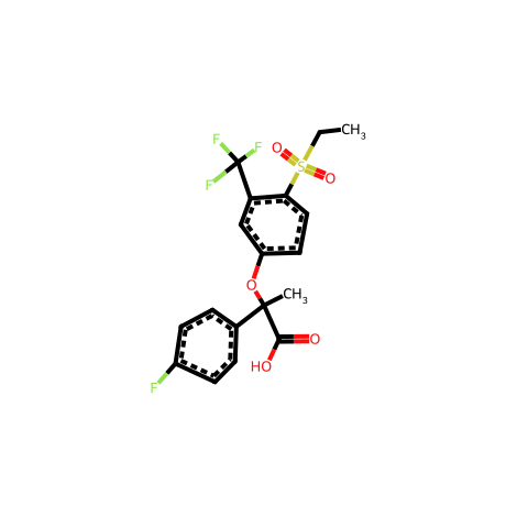 CCS(=O)(=O)c1ccc(OC(C)(C(=O)O)c2ccc(F)cc2)cc1C(F)(F)F